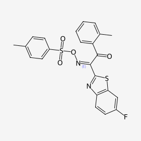 Cc1ccc(S(=O)(=O)O/N=C(\C(=O)c2ccccc2C)c2nc3ccc(F)cc3s2)cc1